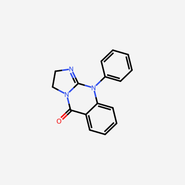 O=C1c2ccccc2N(c2ccccc2)C2=NCCN12